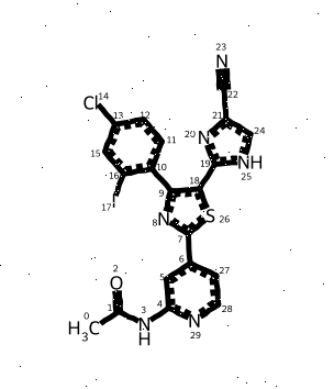 CC(=O)Nc1cc(-c2nc(-c3ccc(Cl)cc3I)c(-c3nc(C#N)c[nH]3)s2)ccn1